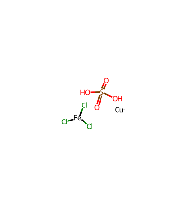 O=S(=O)(O)O.[Cl][Fe]([Cl])[Cl].[Cu]